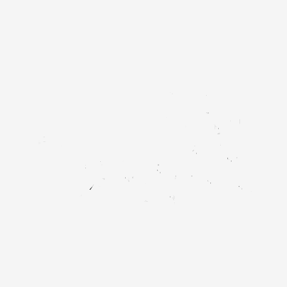 CC(C)OCC1C2CN(c3nc(-c4nc(N)nc(N(C)c5ccccc5)n4)no3)C[C@H]12